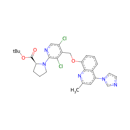 Cc1cc(-n2ccnc2)c2cccc(OCc3c(Cl)cnc(N4CCC[C@H]4C(=O)OC(C)(C)C)c3Cl)c2n1